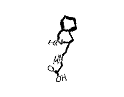 O=C(O)CNCC1Cc2ccccc2CN1